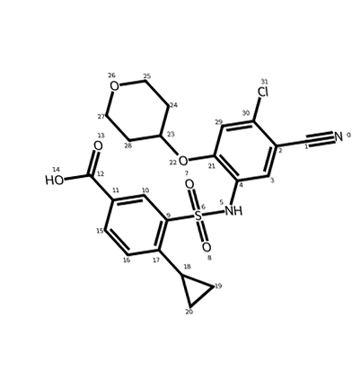 N#Cc1cc(NS(=O)(=O)c2cc(C(=O)O)ccc2C2CC2)c(OC2CCOCC2)cc1Cl